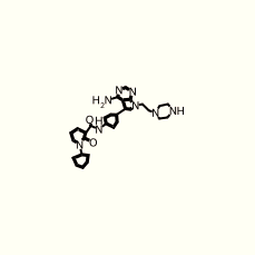 Nc1ncnc2c1c(-c1ccc(NC(=O)c3cccn(-c4ccccc4)c3=O)cc1)cn2CCN1CCNCC1